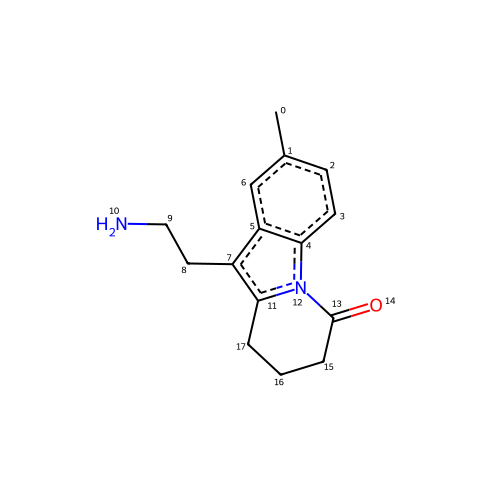 Cc1ccc2c(c1)c(CCN)c1n2C(=O)CCC1